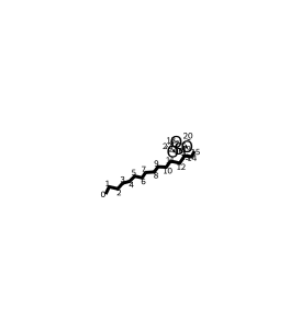 CCCCCCCCCCCCCC(CC)[Si](OC)(OC)OC